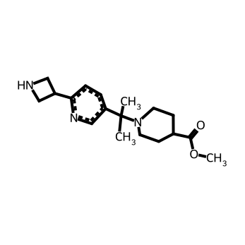 COC(=O)C1CCN(C(C)(C)c2ccc(C3CNC3)nc2)CC1